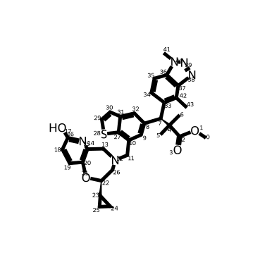 COC(=O)C(C)(C)[C@@H](c1cc(CN2Cc3nc(O)ccc3O[C@H](C3CC3)C2)c2sccc2c1)c1ccc2c(nnn2C)c1C